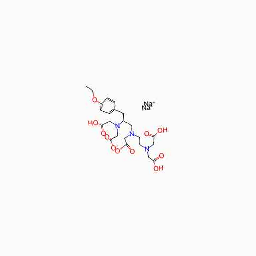 CCOc1ccc(C[C@@H](CN(CCN(CC(=O)O)CC(=O)O)CC(=O)[O-])N(CC(=O)[O-])CC(=O)O)cc1.[Na+].[Na+]